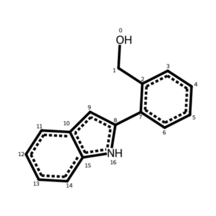 OCc1ccccc1-c1cc2ccccc2[nH]1